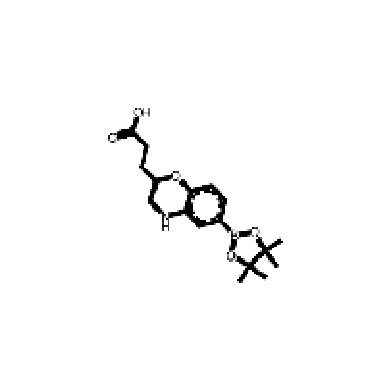 CC1(C)OB(c2ccc3c(c2)NCC(CCC(=O)O)O3)OC1(C)C